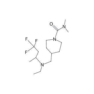 CCN(CC1CCN(C(=O)N(C)C)CC1)C(C)CC(F)(F)F